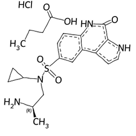 CCCC(=O)O.C[C@@H](N)CN(C1CC1)S(=O)(=O)c1ccc2[nH]c(=O)c3[nH]ccc3c2c1.Cl